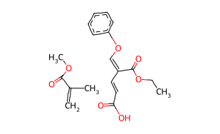 C=C(C)C(=O)OC.CCOC(=O)C(C=CC(=O)O)=COc1ccccc1